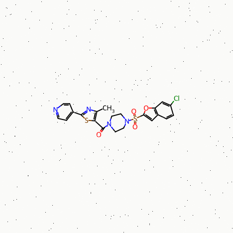 Cc1nc(-c2ccncc2)sc1C(=O)N1CCN(S(=O)(=O)c2cc3ccc(Cl)cc3o2)CC1